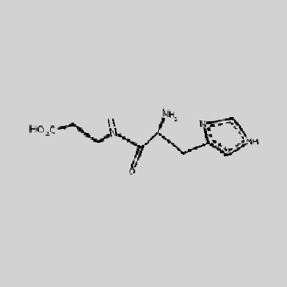 N[C@@H](Cc1c[nH]cn1)C(=O)NCCC(=O)O